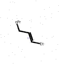 C[CH]/C=C/CCCC